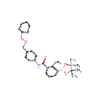 Cc1c(B2OC(C)(C)C(C)(C)O2)cccc1C(=O)Nc1ccc(COCc2ccccc2)cc1